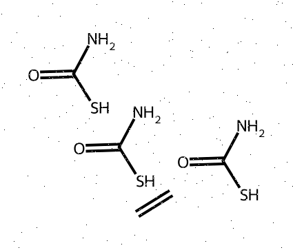 C=C.NC(=O)S.NC(=O)S.NC(=O)S